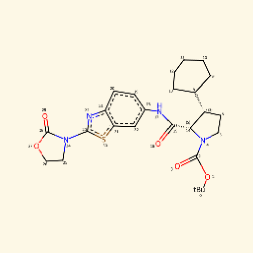 CC(C)(C)OC(=O)N1CC[C@@H](C2CCCCC2)[C@H]1C(=O)Nc1ccc2nc(N3CCOC3=O)sc2c1